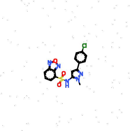 Cn1nc(-c2ccc(Cl)cc2)cc1NS(=O)(=O)c1cccc2nonc12